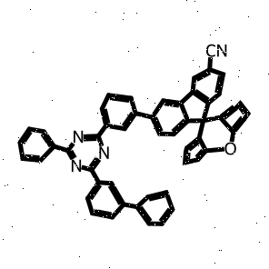 N#Cc1ccc2c(c1)-c1cc(-c3cccc(-c4nc(-c5ccccc5)nc(-c5cccc(-c6ccccc6)c5)n4)c3)ccc1C21c2ccccc2Oc2ccccc21